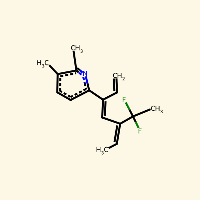 C=C/C(=C\C(=C/C)C(C)(F)F)c1ccc(C)c(C)n1